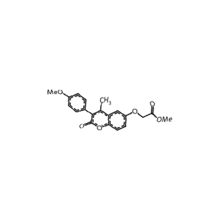 COC(=O)COc1ccc2oc(=O)c(-c3ccc(OC)cc3)c(C)c2c1